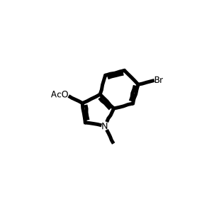 CC(=O)Oc1cn(C)c2cc(Br)ccc12